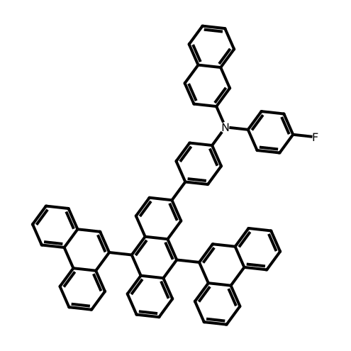 Fc1ccc(N(c2ccc(-c3ccc4c(-c5cc6ccccc6c6ccccc56)c5ccccc5c(-c5cc6ccccc6c6ccccc56)c4c3)cc2)c2ccc3ccccc3c2)cc1